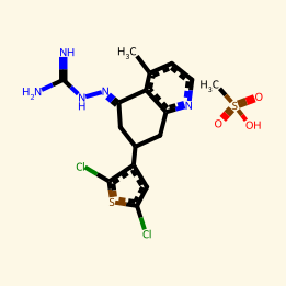 CS(=O)(=O)O.Cc1ccnc2c1C(=NNC(=N)N)CC(c1cc(Cl)sc1Cl)C2